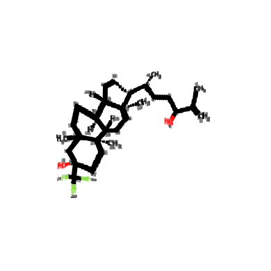 CC(C)C(O)CC[C@@H](C)[C@H]1CC[C@H]2[C@@H]3CCC4(C)C[C@](O)(C(F)(F)F)CC[C@]4(C)[C@H]3CC[C@]12C